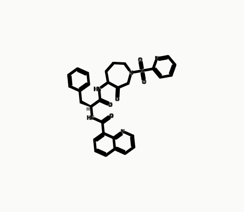 O=C(N[C@@H](Cc1ccccc1)C(=O)NC1CCCN(S(=O)(=O)c2ccccn2)CC1=O)c1cccc2cccnc12